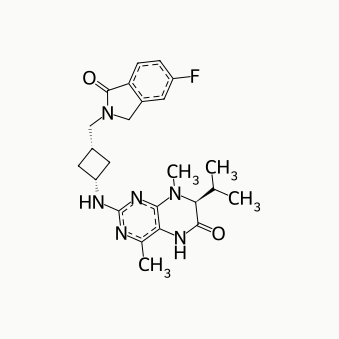 Cc1nc(N[C@H]2C[C@@H](CN3Cc4cc(F)ccc4C3=O)C2)nc2c1NC(=O)[C@H](C(C)C)N2C